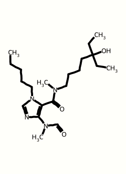 CCCCCn1cnc(N(C)C=O)c1C(=O)N(C)CCCCC(O)(CC)CC